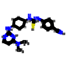 CN(C)c1ccnc(N[C@H]2CC[C@@H](NC(=S)Nc3ccc(C#N)cc3)CC2)n1